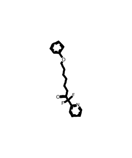 O=C(CCCCCCOc1ccccc1)C(F)(F)c1ccccn1